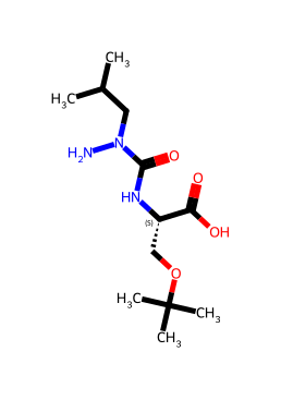 CC(C)CN(N)C(=O)N[C@@H](COC(C)(C)C)C(=O)O